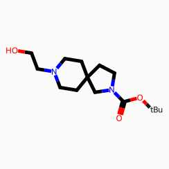 CC(C)(C)OC(=O)N1CCC2(CCN(CCO)CC2)C1